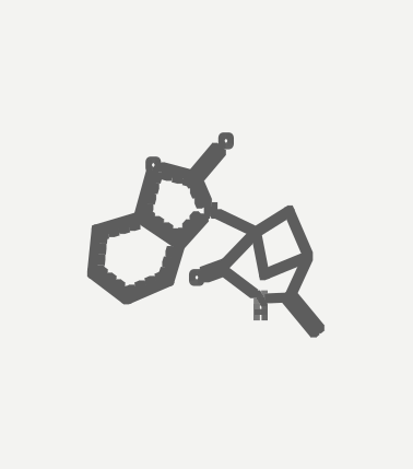 C=C1NC(=O)C2(n3c(=O)oc4ccccc43)CC1C2